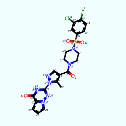 Cc1c(C(=O)N2CCN(S(=O)(=O)c3ccc(F)c(Cl)c3)CC2)cnn1-c1nn2cccc2c(=O)[nH]1